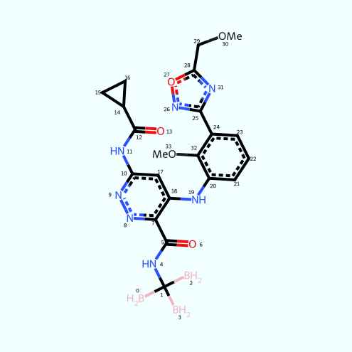 BC(B)(B)NC(=O)c1nnc(NC(=O)C2CC2)cc1Nc1cccc(-c2noc(COC)n2)c1OC